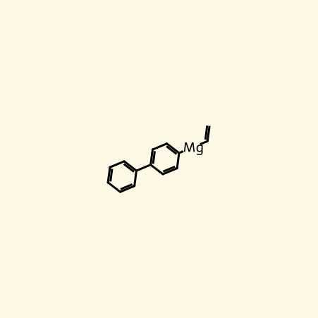 C=[CH][Mg][c]1ccc(-c2ccccc2)cc1